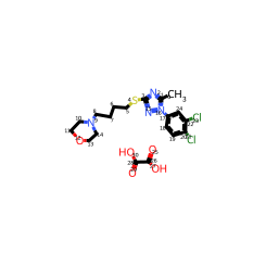 Cc1nc(SCCCCN2CCOCC2)nn1-c1ccc(Cl)c(Cl)c1.O=C(O)C(=O)O